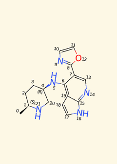 C[C@H]1CC[C@@H](Nc2c(-c3ncco3)cnc3[nH]ccc23)CN1